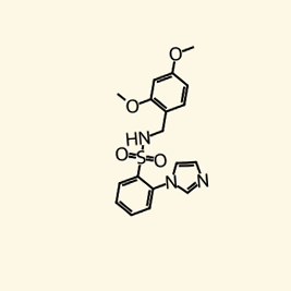 COc1ccc(CNS(=O)(=O)c2ccccc2-n2ccnc2)c(OC)c1